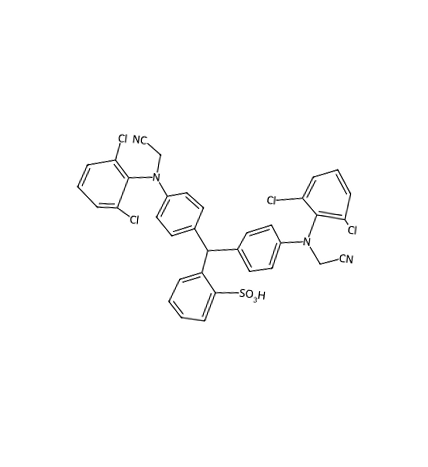 N#CCN(c1ccc(C(c2ccc(N(CC#N)c3c(Cl)cccc3Cl)cc2)c2ccccc2S(=O)(=O)O)cc1)c1c(Cl)cccc1Cl